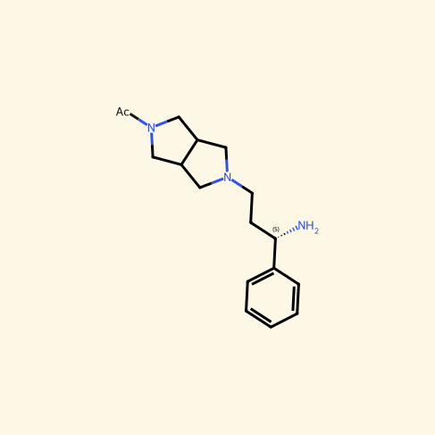 CC(=O)N1CC2CN(CC[C@H](N)c3ccccc3)CC2C1